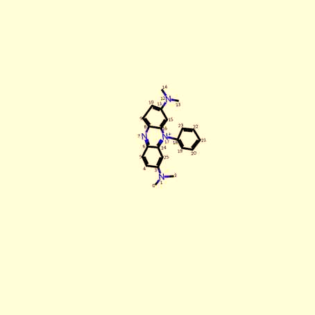 CN(C)c1ccc2nc3ccc(N(C)C)cc3[n+](-c3ccccc3)c2c1